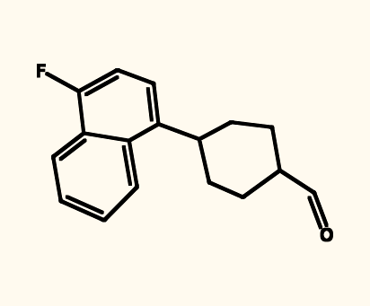 O=CC1CCC(c2ccc(F)c3ccccc23)CC1